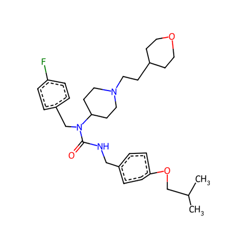 CC(C)COc1ccc(CNC(=O)N(Cc2ccc(F)cc2)C2CCN(CCC3CCOCC3)CC2)cc1